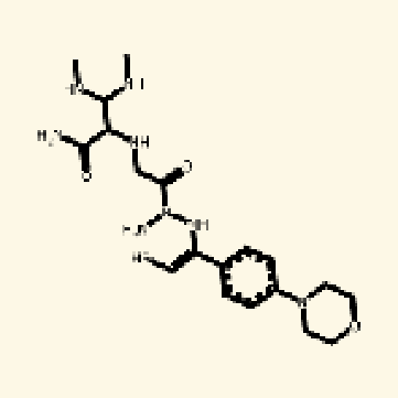 CNC(NC)C(NCC(=O)N(N)N/C(=C\S)c1ccc(N2CCOCC2)cc1)C(N)=O